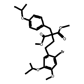 COC(=O)C(CCc1cc(OC(C)C)c(OC)cc1Br)(Cc1ccc(OC(C)C)cc1)C(=O)OC